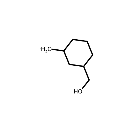 [CH2]C1CCCC(CO)C1